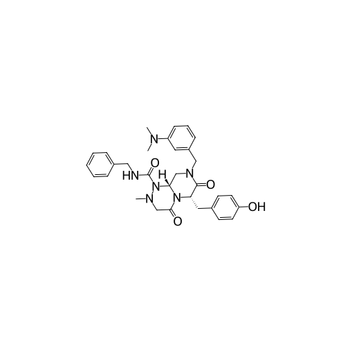 CN(C)c1cccc(CN2C[C@@H]3N(C(=O)CN(C)N3C(=O)NCc3ccccc3)[C@@H](Cc3ccc(O)cc3)C2=O)c1